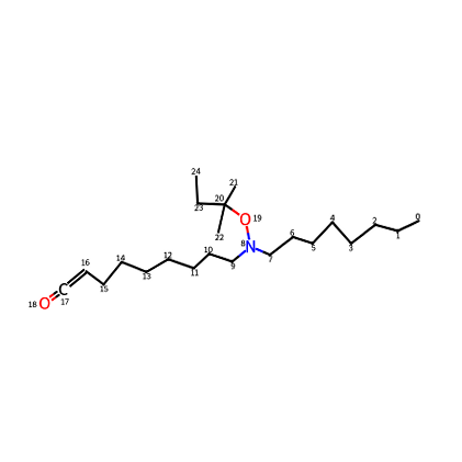 CCCCCCCCN(CCCCCCCC=C=O)OC(C)(C)CC